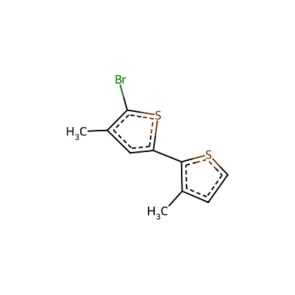 Cc1cc(-c2sccc2C)sc1Br